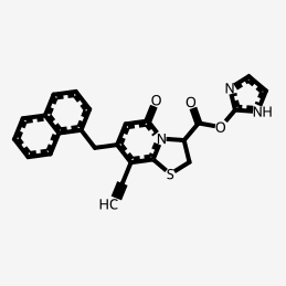 C#Cc1c(Cc2cccc3ccccc23)cc(=O)n2c1SCC2C(=O)Oc1ncc[nH]1